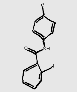 O=C(Nc1ccc(Cl)cc1)c1ccccc1I